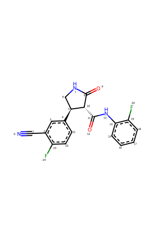 N#Cc1cc([C@H]2CNC(=O)[C@@H]2C(=O)Nc2ccccc2F)ccc1F